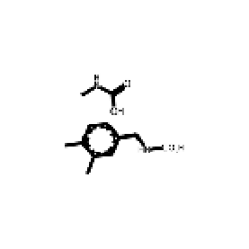 CNC(=O)O.Cc1ccc(CNC(=O)O)cc1C